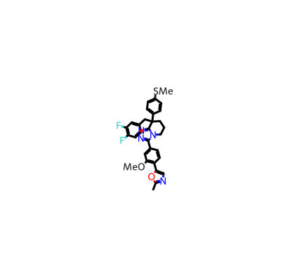 COc1cc(-c2nnc3n2CCCC3(Cc2ccc(F)c(F)c2)c2ccc(SC)cc2)ccc1-c1cnc(C)o1